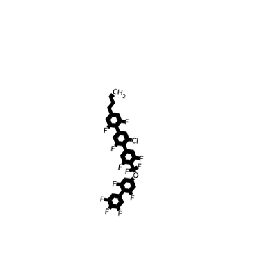 C=CCCc1cc(F)c(-c2cc(F)c(-c3cc(F)c(C(F)(F)Oc4cc(F)c(-c5cc(F)c(F)c(F)c5)c(F)c4)c(F)c3)c(Cl)c2)c(F)c1